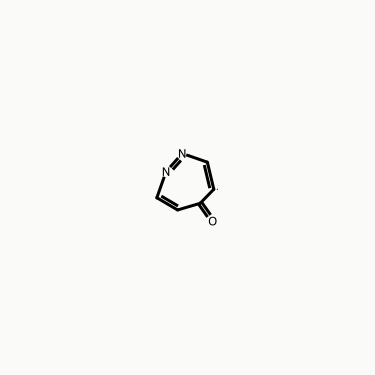 O=c1[c]cnncc1